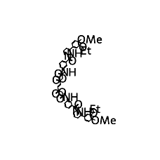 CCOc1cc(C2CC=CN(C(=O)c3cccc(NC(=O)OC(=O)/C=C/C(=O)OC(=O)Nc4cccc(C(=O)N5C=CCC(c6ccc(OC)c(OCC)c6)N5)c4)c3)N2)ccc1OC